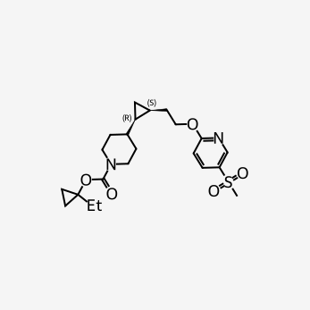 CCC1(OC(=O)N2CCC([C@H]3C[C@H]3CCOc3ccc(S(C)(=O)=O)cn3)CC2)CC1